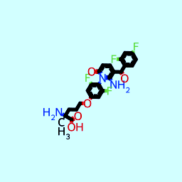 C[C@](N)(CCCOc1cc(F)c(-n2c(N)c(C(=O)c3ccc(F)cc3F)ccc2=O)c(F)c1)C(=O)O